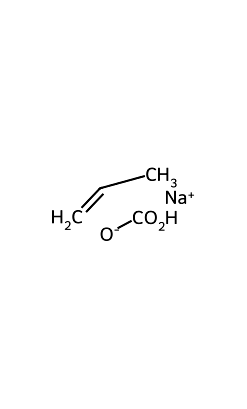 C=CC.O=C([O-])O.[Na+]